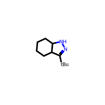 CC(C)(C)C1=NNC2CCCCC12